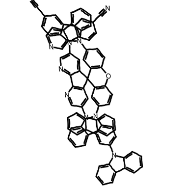 N#Cc1ccc2c(c1)c1cc(C#N)ccc1n2-c1cnc2c(c1)C1(c3cc(-n4c5ccccc5c5cc(-n6c7ccccc7c7ccccc76)ccc54)ccc3Oc3ccc(-n4c5ccccc5c5ccncc54)cc31)c1cc(-n3c4ccccc4c4ccccc43)cnc1-2